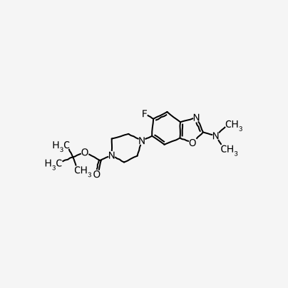 CN(C)c1nc2cc(F)c(N3CCN(C(=O)OC(C)(C)C)CC3)cc2o1